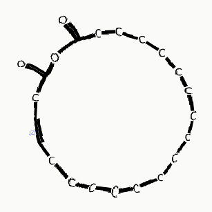 O=C1C/C=C\CCCCCCCCCCCCCCCC(=O)O1